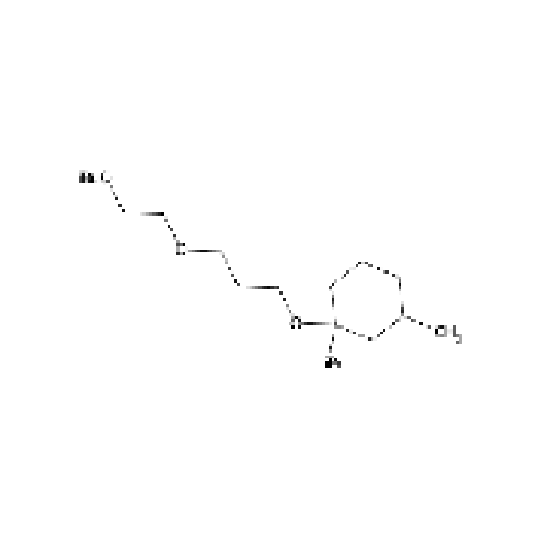 CC(C)COCCOCCCOC1(C(C)C)CCCC(C)C1